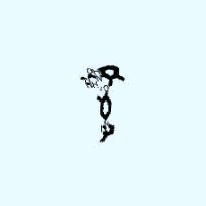 Cc1ccn(-c2ccc(OCc3c(C)cccc3NC(=O)N(C)N)c(C)c2)n1